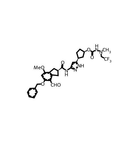 COc1cc(OCc2ccccc2)c(C=O)c2c1C[C@@H](C(=O)Nc1cc([C@H]3CC[C@@H](OC(=O)NN(C)CC(F)(F)F)C3)[nH]n1)C2